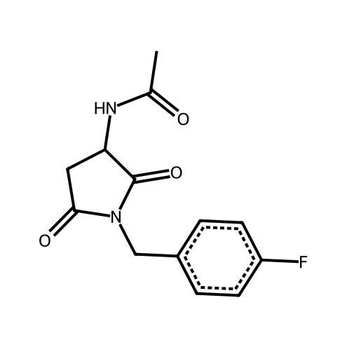 CC(=O)NC1CC(=O)N(Cc2ccc(F)cc2)C1=O